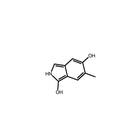 Cc1cc2c(O)[nH]cc2cc1O